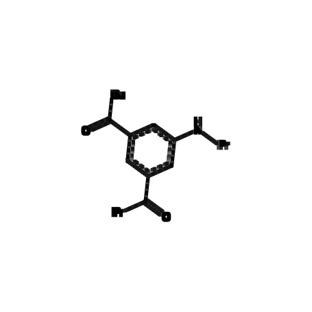 CCC(C)C(=O)c1cc(NC(C)C)cc(C(=O)C(C)C)c1